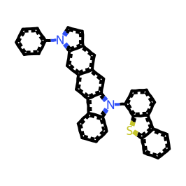 c1ccc(-n2ccc3cc4cc5c(cc4cc32)c2ccccc2n5-c2cccc3c2sc2ccccc23)cc1